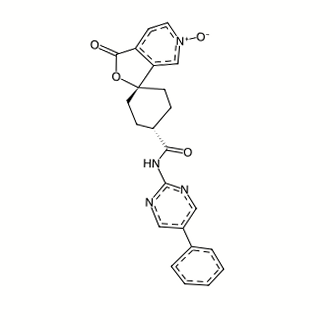 O=C1O[C@]2(CC[C@@H](C(=O)Nc3ncc(-c4ccccc4)cn3)CC2)c2c[n+]([O-])ccc21